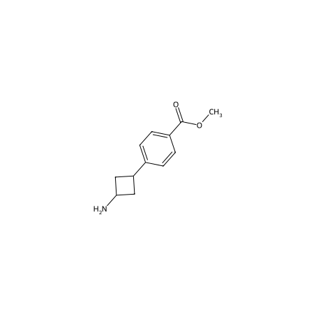 COC(=O)c1ccc(C2CC(N)C2)cc1